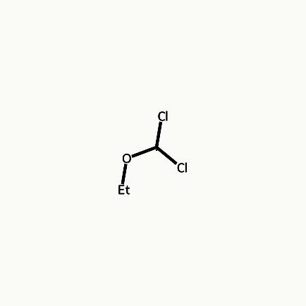 CCO[C](Cl)Cl